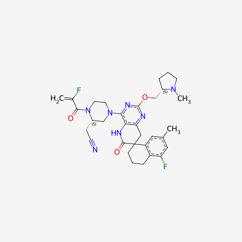 C=C(F)C(=O)N1CCN(c2nc(OC[C@@H]3CCCN3C)nc3c2NC(=O)C2(CCCc4c(F)cc(C)cc42)C3)C[C@@H]1CC#N